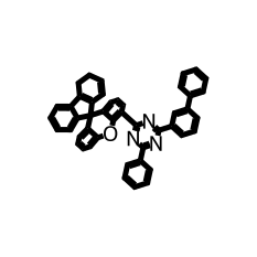 C1=CC2=C(CC1)c1ccccc1C21c2ccccc2Oc2c(-c3nc(-c4ccccc4)nc(-c4cccc(-c5ccccc5)c4)n3)cccc21